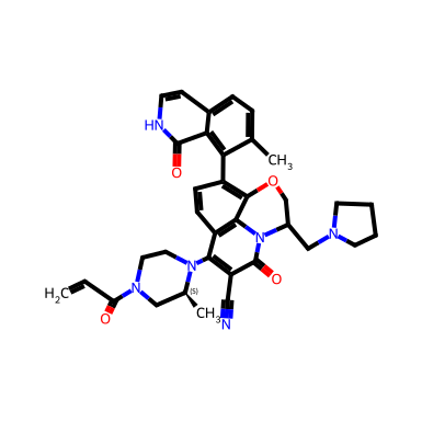 C=CC(=O)N1CCN(c2c(C#N)c(=O)n3c4c(c(-c5c(C)ccc6cc[nH]c(=O)c56)ccc24)OCC3CN2CCCC2)[C@@H](C)C1